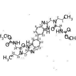 CCCN(Cc1nc2ccc(-c3ccc4nc(CN(CCC)C(=O)CNC(=O)OC)[nH]c4c3)cc2[nH]1)C(=O)CNC(=O)OC